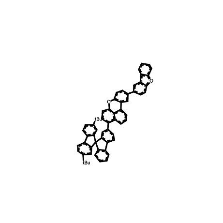 CC(C)(C)c1ccc2c(c1)C1(c3ccccc3-c3ccc(-c4ccc5c6c(cccc46)-c4cc(-c6ccc7oc8ccccc8c7c6)ccc4O5)cc31)c1cc(C(C)(C)C)ccc1-2